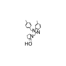 Cc1ccc(Cn2c(CN3CCC[C@H]3CO)nc3ccc(C)cc32)cc1